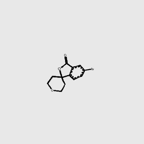 O=C1OC2(CCOCC2)c2ccc(Br)cc21